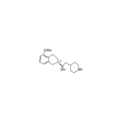 CCCN(CC1CCNCC1)[C@@H]1CCc2c(cccc2OC)C1